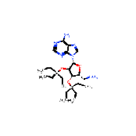 CC[Si](CC)(CC)OC1[C@@H](O[Si](CC)(CC)CC)[C@@H](CN)O[C@H]1n1cnc2c(N)ncnc21